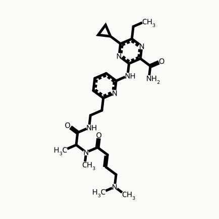 CCc1nc(C(N)=O)c(Nc2cccc(CCNC(=O)C(C)N(C)C(=O)/C=C/CN(C)C)n2)nc1C1CC1